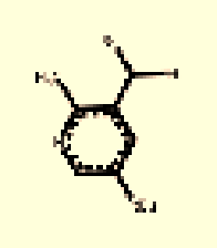 CCC(Br)c1cc(C(C)(C)C)cnc1C